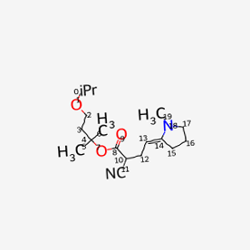 CC(C)OCCC(C)(C)OC(=O)C(C#N)C/C=C1\CCCN1C